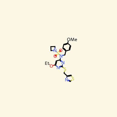 CCOc1cc(N(Cc2ccc(OC)cc2)S(=O)(=O)N2CCC2)nc(SCc2cscn2)n1